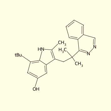 Cc1[nH]c2c(C(C)(C)C)cc(O)cc2c1CC(C)(C)c1nncc2ccccc12